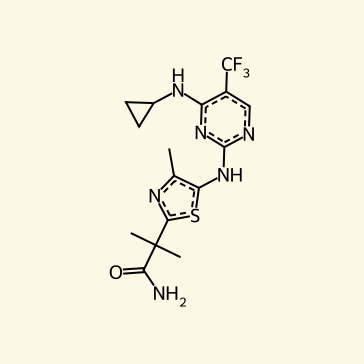 Cc1nc(C(C)(C)C(N)=O)sc1Nc1ncc(C(F)(F)F)c(NC2CC2)n1